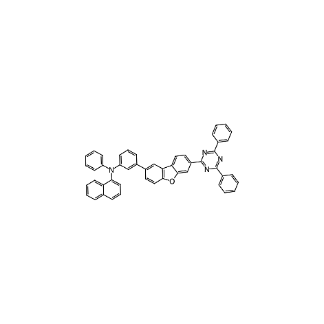 c1ccc(-c2nc(-c3ccccc3)nc(-c3ccc4c(c3)oc3ccc(-c5cccc(N(c6ccccc6)c6cccc7ccccc67)c5)cc34)n2)cc1